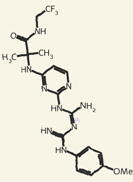 COc1ccc(NC(=N)/N=C(/N)Nc2nccc(NC(C)(C)C(=O)NCC(F)(F)F)n2)cc1